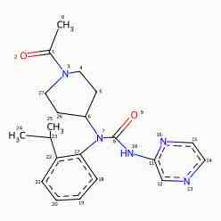 CC(=O)N1CCC(N(C(=O)Nc2cnccn2)c2ccccc2C(C)C)CC1